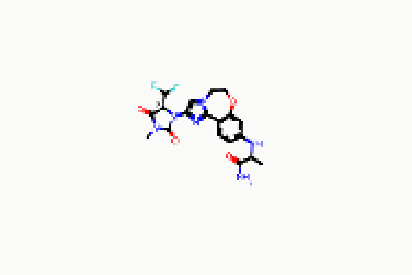 CC(Nc1ccc2c(c1)OCCn1cc(N3C(=O)N(C)C(=O)[C@H]3C(F)F)nc1-2)C(N)=O